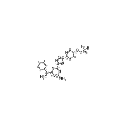 CN(c1ccccc1)c1nc(N)nc(-c2noc(-c3ccc(OCC(F)(F)F)cn3)n2)n1